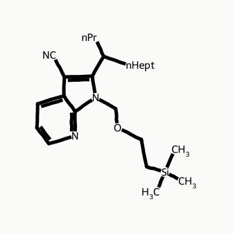 CCCCCCCC(CCC)c1c(C#N)c2cccnc2n1COCC[Si](C)(C)C